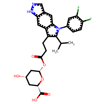 CC(C)c1c(CCC(=O)O[C@H]2C[C@@H](O)C[C@@H](C(=O)O)O2)c2cc3[nH]ncc3cc2n1-c1ccc(F)c(F)c1